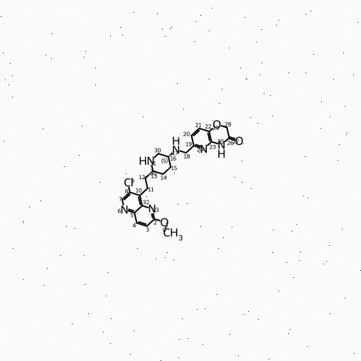 COc1ccc2ncc(Cl)c(CC[C@@H]3CC[C@H](NCc4ccc5c(n4)NC(=O)CO5)CN3)c2n1